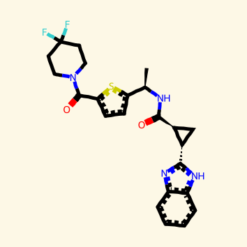 C[C@@H](NC(=O)[C@H]1C[C@@H]1c1nc2ccccc2[nH]1)c1ccc(C(=O)N2CCC(F)(F)CC2)s1